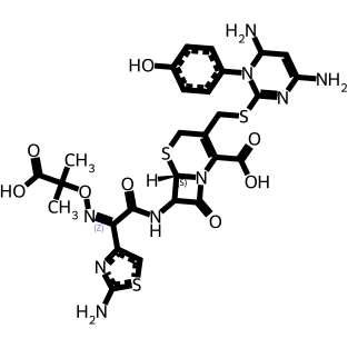 CC(C)(O/N=C(\C(=O)NC1C(=O)N2C(C(=O)O)=C(CSC3=NC(N)=CC(N)N3c3ccc(O)cc3)CS[C@@H]12)c1csc(N)n1)C(=O)O